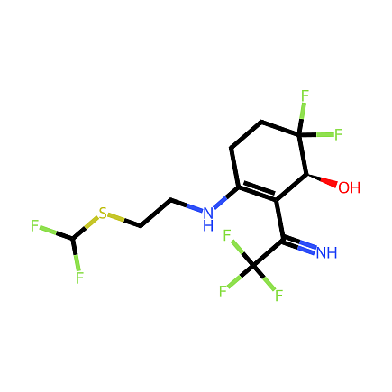 N=C(C1=C(NCCSC(F)F)CCC(F)(F)[C@H]1O)C(F)(F)F